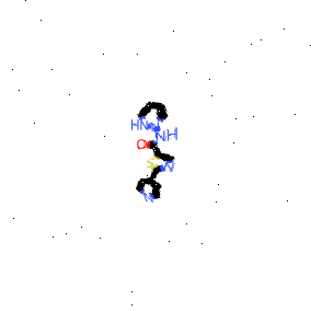 O=C(NN1C=CC=CN1)c1cnc(-c2ccncc2)s1